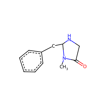 CN1C(=O)CNC1Cc1ccccc1